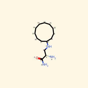 NC(=O)[C@@H](N)CNC1CCCCCCCCCC1